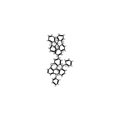 S=P12c3c4cccc3N(c3ccccc3)c3cccc(c31)N(c1ccccc1)c1cc(-c3ccc5c6c(ccc5c3)-c3ccccc3C63c5ccccc5-c5ccccc53)cc(c12)O4